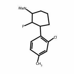 CNC1CCCC(c2ccc(C)cc2Cl)C1F